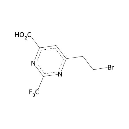 O=C(O)c1cc(CCBr)nc(C(F)(F)F)n1